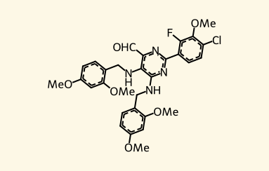 COc1ccc(CNc2nc(-c3ccc(Cl)c(OC)c3F)nc(C=O)c2NCc2ccc(OC)cc2OC)c(OC)c1